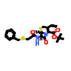 C=CC1=C(C(=O)OC(C)(C)C)N2C(=O)[C@@H](NC(=O)CSCc3ccccc3)[C@H]2SC1